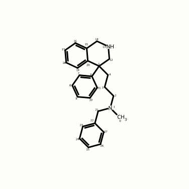 CN(CCCC1(c2ccccc2)CNCc2ccccc21)Cc1ccccc1